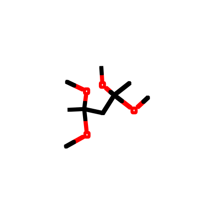 COC(C)(CC(C)(OC)OC)OC